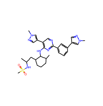 CC(CC1CCCC(C)C1Nc1nc(-c2cccc(-c3cnn(C)c3)c2)ncc1-c1cnn(C)c1)NS(C)(=O)=O